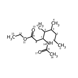 CCCC(C)C(C)C(CC(=O)OCC)NC(C)=O